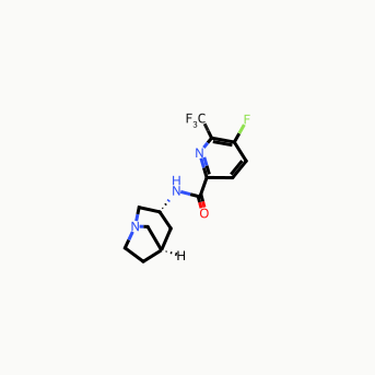 O=C(N[C@@H]1C[C@H]2CCN(C2)C1)c1ccc(F)c(C(F)(F)F)n1